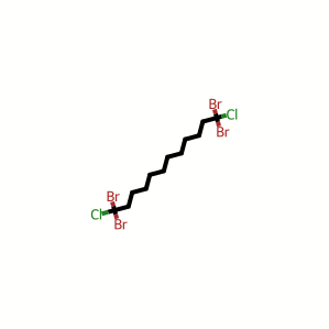 ClC(Br)(Br)CCCCCCCCCCC(Cl)(Br)Br